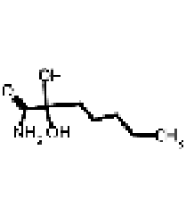 CCCCCC(O)(O)C(N)=O